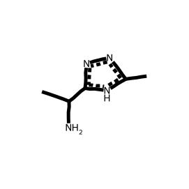 Cc1nnc(C(C)N)[nH]1